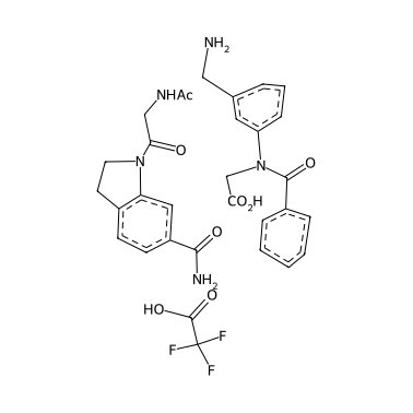 CC(=O)NCC(=O)N1CCc2ccc(C(N)=O)cc21.NCc1cccc(N(CC(=O)O)C(=O)c2ccccc2)c1.O=C(O)C(F)(F)F